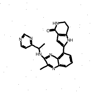 Cc1nc2cccc(-c3cc4c([nH]3)CCNC4=O)c2nc1NC(C)c1ccncn1